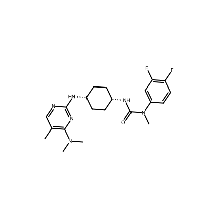 Cc1cnc(N[C@H]2CC[C@@H](NC(=O)N(C)c3ccc(F)c(F)c3)CC2)nc1N(C)C